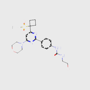 CS(=O)(=O)C1(c2cc(N3CCOCC3)nc(-c3ccc(NC(=O)NCCO)cc3)n2)CCC1